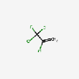 C=C(Cl)C(F)(Cl)Cl